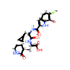 O=C(N[C@@H](CC1CC1)C(=O)N[C@@H](C[C@@H]1CCCNC1=O)C(=O)O)c1cc2ccc(F)c(Br)c2[nH]1